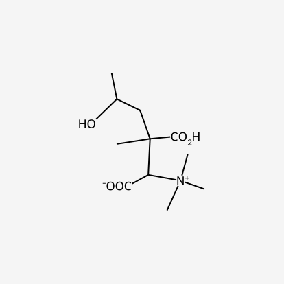 CC(O)CC(C)(C(=O)O)C(C(=O)[O-])[N+](C)(C)C